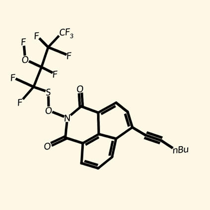 CCCCC#Cc1ccc2c3c(cccc13)C(=O)N(OSC(F)(F)C(F)(OF)C(F)(F)C(F)(F)F)C2=O